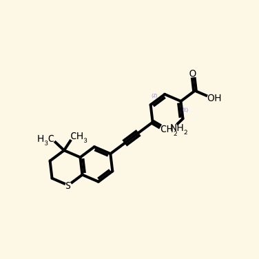 C=C(C#Cc1ccc2c(c1)C(C)(C)CCS2)/C=C\C(=C/N)C(=O)O